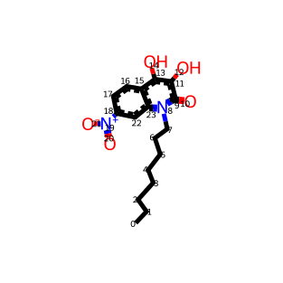 CCCCCCCCn1c(=O)c(O)c(O)c2ccc([N+](=O)[O-])cc21